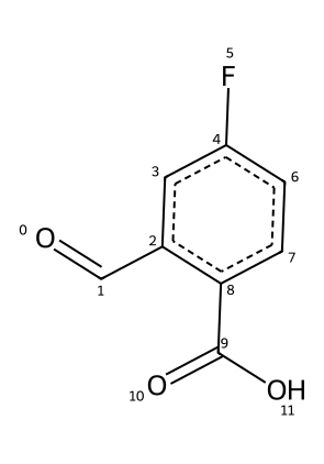 O=Cc1cc(F)ccc1C(=O)O